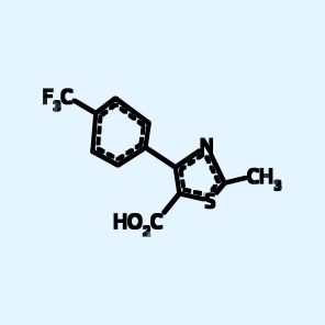 Cc1nc(-c2ccc(C(F)(F)F)cc2)c(C(=O)O)s1